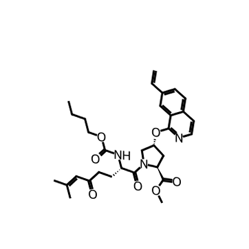 C=Cc1ccc2ccnc(O[C@@H]3C[C@@H](C(=O)OC)N(C(=O)[C@H](CCC(=O)C=C(C)C)NC(=O)OCCCC)C3)c2c1